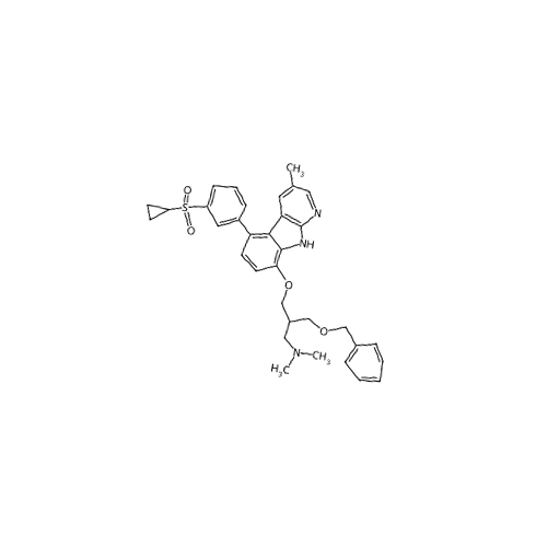 Cc1cnc2[nH]c3c(OCC(COCc4ccccc4)CN(C)C)ccc(-c4cccc(S(=O)(=O)C5CC5)c4)c3c2c1